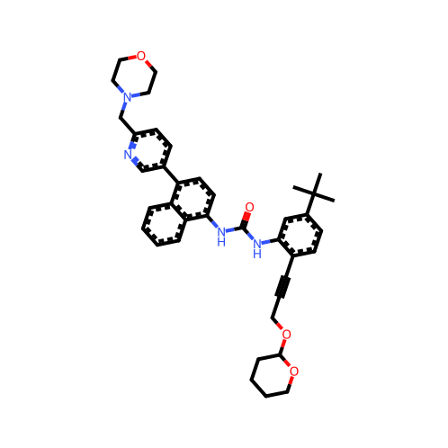 CC(C)(C)c1ccc(C#CCOC2CCCCO2)c(NC(=O)Nc2ccc(-c3ccc(CN4CCOCC4)nc3)c3ccccc23)c1